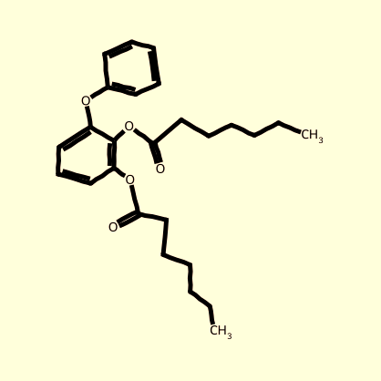 CCCCCCC(=O)Oc1cccc(Oc2ccccc2)c1OC(=O)CCCCCC